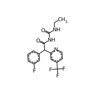 CCNC(=O)NC(=O)C(c1cccc(F)c1)c1cc(C(F)(F)F)ccn1